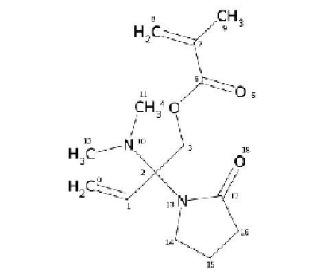 C=CC(COC(=O)C(=C)C)(N(C)C)N1CCCC1=O